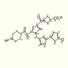 CC(C)N1CCC(NC(=O)c2cc(C(=O)N3CC(C(=O)O)C3)nn2Cc2cc(-c3ccc(Cl)s3)on2)CC1